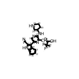 Cc1nc(-c2c(C#N)[nH]c3ccccc23)cnc1NC1CCCNC1.O=C(O)C(F)(F)F